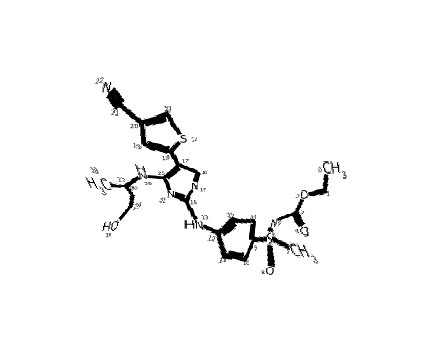 CCOC(=O)N=S(C)(=O)c1ccc(Nc2ncc(-c3cc(C#N)cs3)c(N[C@H](C)CO)n2)cc1